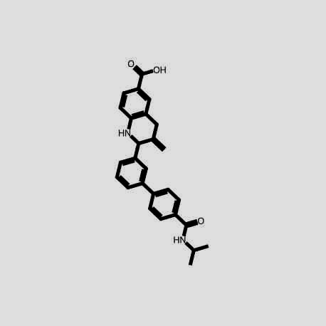 C=C1Cc2cc(C(=O)O)ccc2NC1c1cccc(-c2ccc(C(=O)NC(C)C)cc2)c1